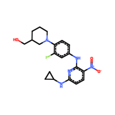 O=[N+]([O-])c1ccc(NC2CC2)nc1Nc1ccc(N2CCCC(CO)C2)c(F)c1